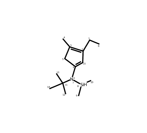 CCC1=C(C)CC([N+]([SiH](C)C)C(C)(C)C)=C1